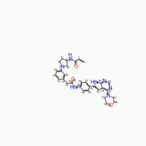 C=CC(=O)NC1CCN(c2cccc(CC(=O)Nc3ccc(-c4cc5c(N6CCOCC6)ncnc5[nH]4)cc3)c2)C1